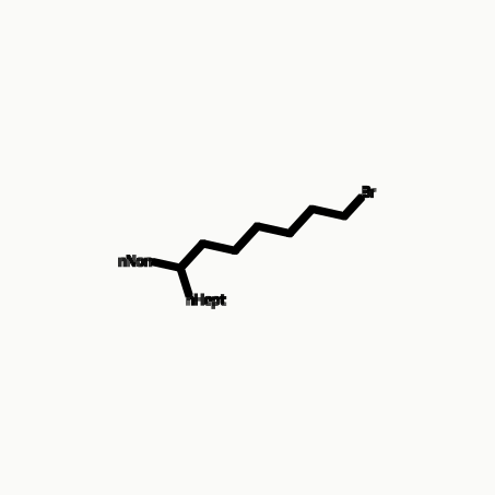 CCCCCCCCCC(CCCCCCC)CCCCCCBr